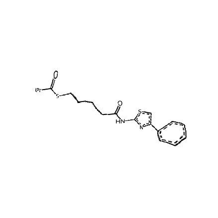 CC(C)C(=O)SCCCCC(=O)Nc1nc(-c2ccccc2)cs1